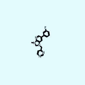 CN1CN(Cc2ccncn2)c2cc(-c3cccc(F)c3)cnc21